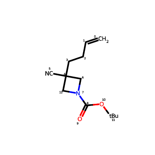 C=CCCC1(C#N)CN(C(=O)OC(C)(C)C)C1